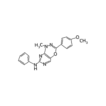 COc1ccc(C2=NN(C)c3nc(Nc4ccccc4)ncc3O2)cc1